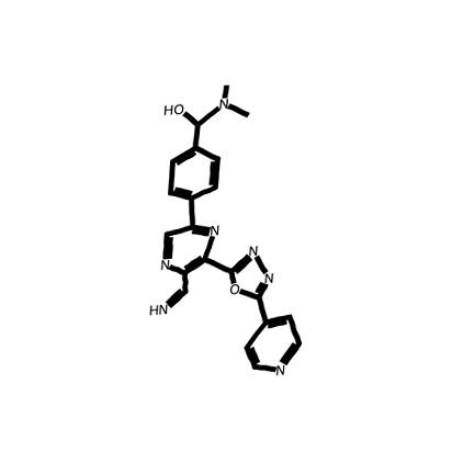 CN(C)C(O)c1ccc(-c2cnc(C=N)c(-c3nnc(-c4ccncc4)o3)n2)cc1